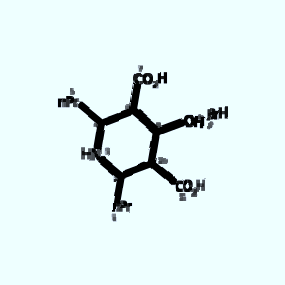 Br.CCCC1NC(CCC)C(C(=O)O)C(O)C1C(=O)O